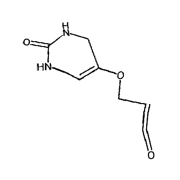 O=C=CCOC1=CNC(=O)NC1